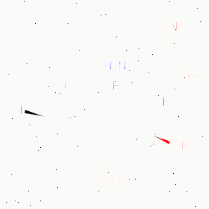 NC(C(=O)O)[C@@H]1[C@@H]2C[C@H]3C[C@@](O)(C2)C[C@]1(O)C3